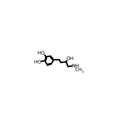 CNCC(O)CCc1ccc(O)c(O)c1